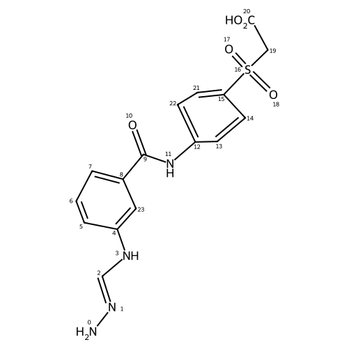 NN=CNc1cccc(C(=O)Nc2ccc(S(=O)(=O)CC(=O)O)cc2)c1